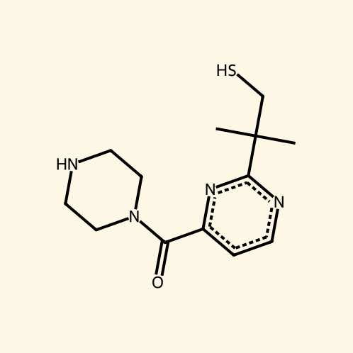 CC(C)(CS)c1nccc(C(=O)N2CCNCC2)n1